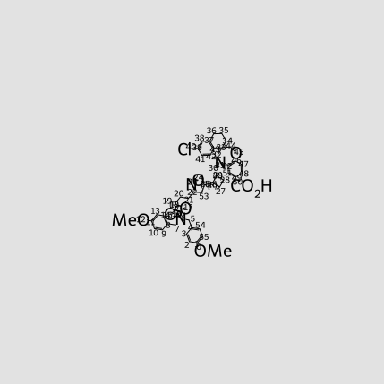 COc1ccc(CN(Cc2ccc(OC)cc2)S(=O)(=O)[C@H](C)CCC2=NO[C@@H]([C@@H]3CC[C@H]3CN3CC4(CCCc5cc(Cl)ccc54)COc4ccc(C(=O)O)cc43)C2)cc1